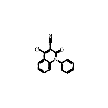 N#Cc1c(Cl)c2ccccc2n(-c2ccccc2)c1=O